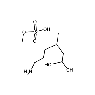 CN(CCCN)CC(O)O.COS(=O)(=O)O